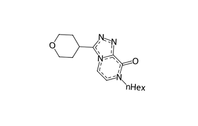 CCCCCCn1ccn2c(C3CCOCC3)nnc2c1=O